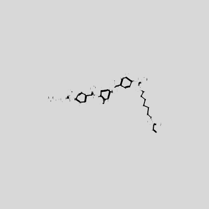 C=CC(=O)OCCCCCCCOC(=O)Oc1ccc(C(=O)Oc2ccc(OC(=O)c3ccc(OC(=O)OC)cc3)c(C)c2)cc1